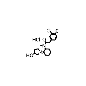 CN(C(=O)Cc1ccc(Cl)c(Cl)c1)[C@@H]1CCCC[C@H]1N1CCC(O)C1.Cl